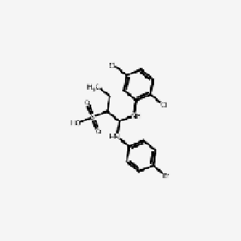 CCC(C(Nc1ccc(Br)cc1)Nc1cc(Cl)ccc1Cl)S(=O)(=O)O